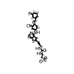 CS(=O)(=O)CCNC(=O)NCC#Cc1cc2c(Nc3ccc(OCc4cccc(F)c4)c(Cl)c3)ncnc2s1